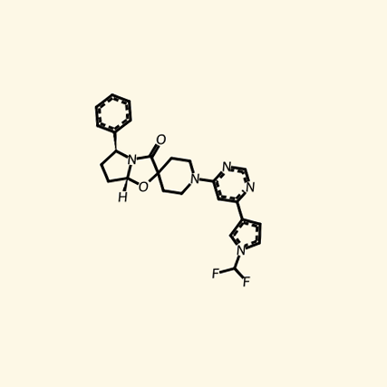 O=C1N2[C@@H](CC[C@H]2c2ccccc2)OC12CCN(c1cc(-c3ccn(C(F)F)c3)ncn1)CC2